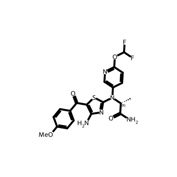 COc1ccc(C(=O)c2sc(N(c3ccc(OC(F)F)nc3)[C@H](C)C(N)=O)nc2N)cc1